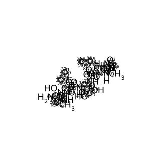 C[C@H](NC(=O)CNC(=O)[C@H](CC(=O)O)N(CCNc1ccc(NCCN(C(=O)OCC2c3ccccc3-c3ccccc32)[C@@H](CC(=O)O)C(=O)NCC(=O)N[C@@H](C)C(=O)N2CCC[C@H]2C(N)=O)c2c1C(=O)c1c(O)ccc(O)c1C2=O)C(=O)OCC1c2ccccc2-c2ccccc21)C(=O)N1CCC[C@H]1C(N)=O